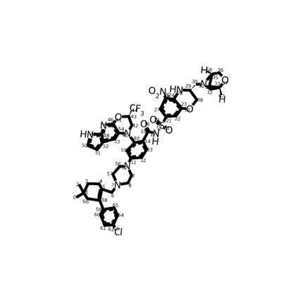 CC1(C)CCC(CN2CCN(c3ccc(C(=O)NS(=O)(=O)c4cc5c(c([N+](=O)[O-])c4)N[C@H](CN4C[C@@H]6C[C@H]4CO6)CO5)c(N4C[C@@H](C(F)(F)F)Oc5nc6[nH]ccc6cc54)c3)CC2)=C(c2ccc(Cl)cc2)C1